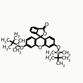 CC(C)(C)[Si](C)(C)Oc1ccc2c(c1)Oc1cc(O[Si](C)(C)C(C)(C)C)ccc1C21OC(=O)c2ccccc21